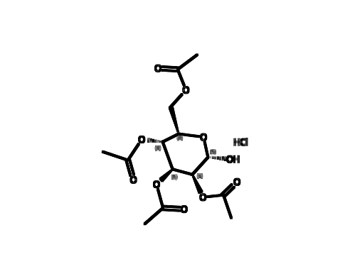 CC(=O)OC[C@H]1O[C@H](O)[C@@H](OC(C)=O)[C@@H](OC(C)=O)[C@@H]1OC(C)=O.Cl